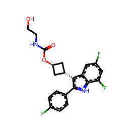 O=C(NCCO)O[C@H]1C[C@H](c2c(-c3ccc(F)cc3)[nH]c3c(F)cc(F)cc32)C1